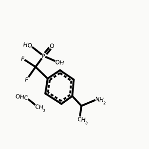 CC(N)c1ccc(C(F)(F)P(=O)(O)O)cc1.CC=O